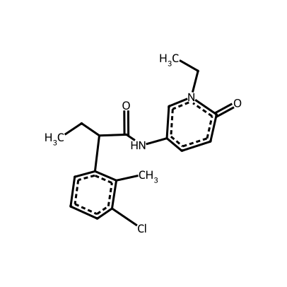 CCC(C(=O)Nc1ccc(=O)n(CC)c1)c1cccc(Cl)c1C